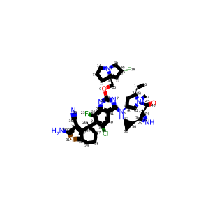 CC[C@H]1C[C@@H](Nc2nc(OC[C@@]34CCCN3C[C@H](F)C4)nc3c(F)c([C@@]4(C)CCCc5sc(N)c(C#N)c54)c(Cl)cc23)C[N+]1(C)C(=O)[C@H]1N[C@H]1C1CC1